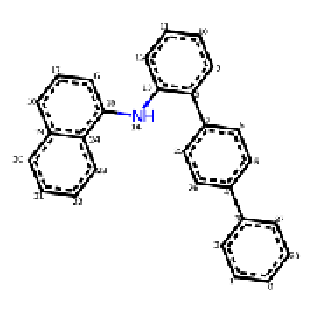 c1ccc(-c2ccc(-c3ccccc3Nc3cccc4ccccc34)cc2)cc1